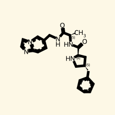 C[C@H](NC(=O)[C@H]1C[C@H](Cc2ccccc2)CN1)C(=O)NCc1ccc2nccn2c1